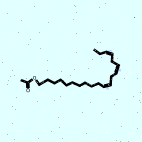 CC/C=C\C/C=C\C/C=C\CCCCCCCCCCOC(C)=O